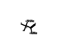 C=C(NC)C(C)(C)NC(C)=O